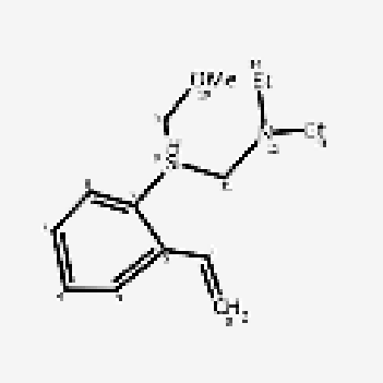 C=Cc1ccccc1[SiH](COC)CN(CC)CC